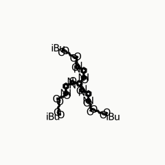 CCC(C)C(=O)OCCCCOC(=O)CCc1nc(-c2cccc(-c3noc(-c4cc(-c5nc(-c6cccc(-c7noc(CCC(=O)OCCCCOC(=O)C(C)CC)n7)c6)no5)cc(-c5nc(-c6cccc(-c7noc(CCC(=O)OCCCCOC(=O)C(C)CC)n7)c6)no5)c4)n3)c2)no1